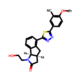 CC(C)Oc1ccc(-c2nnc(-c3cccc4c3C[C@H]3CC(=O)N(CCO)[C@@H]43)s2)cc1C#N